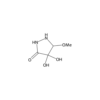 COC1NNC(=O)C1(O)O